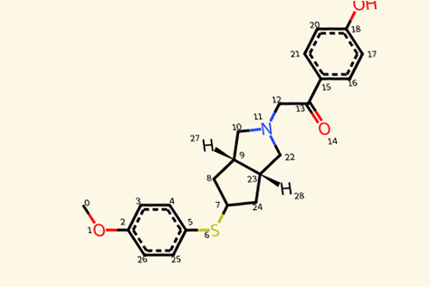 COc1ccc(SC2C[C@@H]3CN(CC(=O)c4ccc(O)cc4)C[C@@H]3C2)cc1